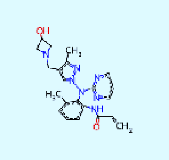 C=CC(=O)Nc1cccc(C)c1N(c1ncccn1)n1cc(CN2CC(O)C2)c(C)n1